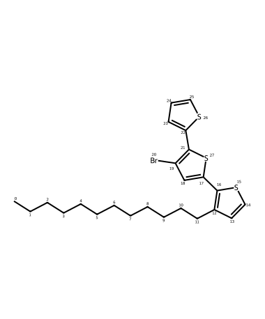 CCCCCCCCCCCCc1ccsc1-c1cc(Br)c(-c2cccs2)s1